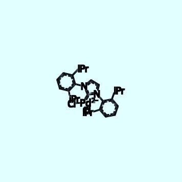 CC(C)c1cccc(C(C)C)c1-n1ccn(-c2c(C(C)C)cccc2C(C)C)[c]1=[Pd-2]([Cl])[Cl]